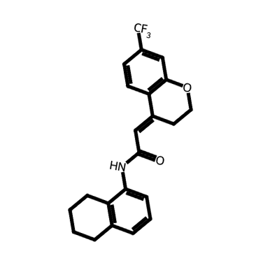 O=C(C=C1CCOc2cc(C(F)(F)F)ccc21)Nc1cccc2c1CCCC2